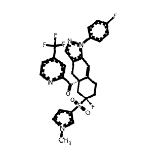 Cn1ccc(S(=O)(=O)[C@@]2(F)CCC3=Cc4c(cnn4-c4ccc(F)cc4)C[C@]3(C(=O)c3cc(C(F)(F)F)ccn3)C2)c1